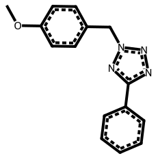 COc1ccc(Cn2nnc(-c3ccccc3)n2)cc1